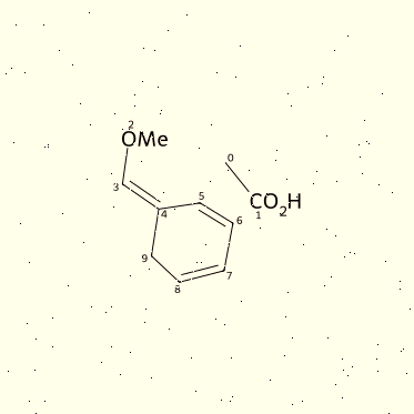 CC(=O)O.COC=C1C=CC=CC1